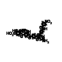 CC(C)Oc1c(NC(=O)c2ccc(NC(=O)c3ccc(NC(=O)[C@H](CC(N)=O)NC(=O)c4ccc(NC(=O)c5ccc([N+](=O)[O-])cc5)cc4)cc3)c(OC(C)C)c2O)ccc(C(=O)O)c1O